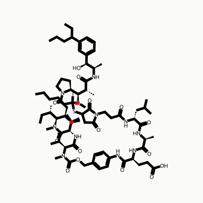 CCCCCC(C)(I)SC1CC(=O)N(CCC(=O)N[C@H](CC(C)C)C(=O)N[C@@H](C)C(=O)N[C@@H](CCC(=O)O)C(=O)Nc2ccc(COC(=O)N(C)[C@H](C(=O)N[C@H](C(=O)N(C)[C@@H]([C@@H](C)CC)[C@@H](CC(=O)N3CCC[C@H]3[C@H](OC)[C@@H](C)C(=O)N[C@H](C)[C@@H](O)c3cccc(C(CC)CCC)c3)OC)C(C)C)C(C)C)cc2)C1=O